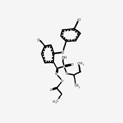 CCC(=O)ON=C(c1ccc(Cl)cc1Oc1ccc(Cl)cc1)P(=O)(O)OC(C)CC